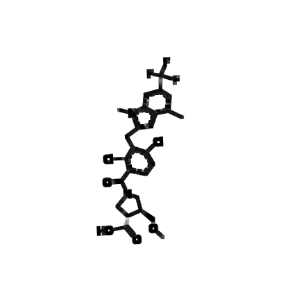 COC[C@@H]1CN(C(=O)c2ccc(Cl)c(Cc3cc4c(C)cc(C(F)(F)F)cc4n3C)c2Cl)C[C@H]1C(=O)O